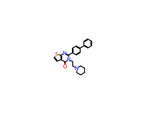 O=c1c2ccsc2nc(-c2ccc(-c3ccccc3)cc2)n1CCN1CCCCC1